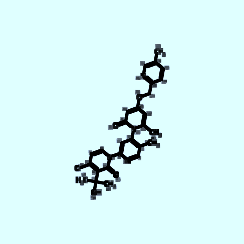 Cc1cnc(-n2ccc(Cl)c(C(C)(C)O)c2=O)cc1-n1c(C)cc(OCc2ccc(C(F)(F)F)cn2)cc1=O